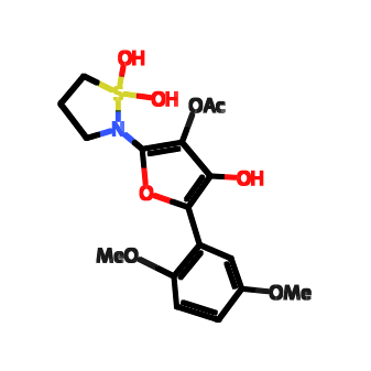 COc1ccc(OC)c(-c2oc(N3CCCS3(O)O)c(OC(C)=O)c2O)c1